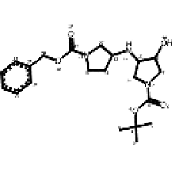 CC(C)(C)OC(=O)N1CC(O)C(NC2CCN(C(=O)OCc3ccccc3)C2)C1